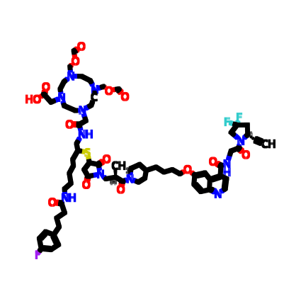 C#C[C@H]1CC(F)(F)CN1C(=O)CNC(=O)c1ccnc2ccc(OCCCCC3CCN(C(=O)[C@H](C)CN4C(=O)CC(SC(CCCCCNC(=O)CCCc5ccc(I)cc5)CNC(=O)CN5CCN(COC=O)CCN(COC=O)CCN(CC(=O)O)CC5)C4=O)CC3)cc12